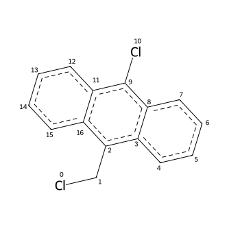 ClCc1c2ccccc2c(Cl)c2ccccc12